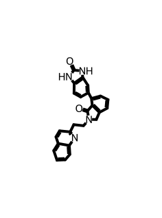 O=C1c2c(cccc2-c2ccc3[nH]c(=O)[nH]c3c2)CN1CCc1ccc2ccccc2n1